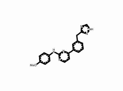 COc1ccc(Nc2nccc(-c3cccc(Cc4nc[nH]n4)c3)n2)cc1